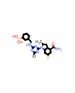 CCc1nc(NCc2cccc(B(O)O)c2)nc(N2c3cc(F)cc(C(N)=O)c3CC2C)n1